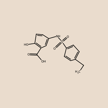 CCc1ccc(S(=O)(=O)Nc2ccc(O)c(C(=O)O)c2)cc1